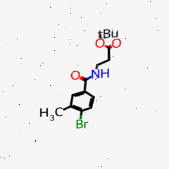 Cc1cc(C(=O)NCCC(=O)OC(C)(C)C)ccc1Br